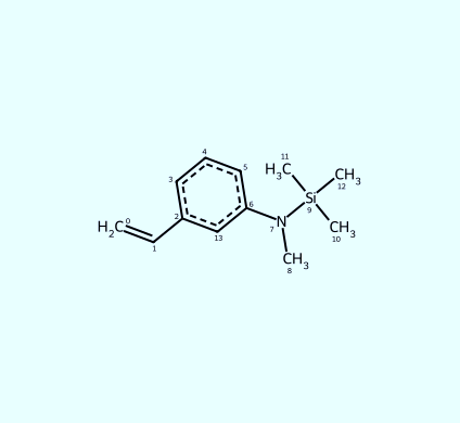 C=Cc1cccc(N(C)[Si](C)(C)C)c1